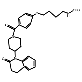 O=CNCCCCOc1ccc(C(=O)N2CCC(N3C(=O)CCc4ccccc43)CC2)cc1